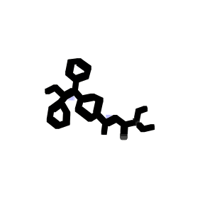 CC/C(=C(\c1ccccc1)c1ccc(/C(C)=C/C(=O)N(CC)CC)cc1)c1ccccc1